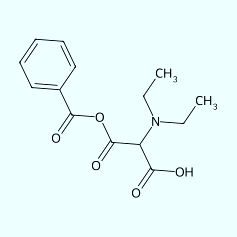 CCN(CC)C(C(=O)O)C(=O)OC(=O)c1ccccc1